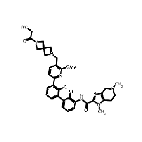 COc1nc(-c2cccc(-c3cccc(NC(=O)c4nc5c(n4C)CCN(C)C5)c3Cl)c2Cl)ccc1CN1CC2(C1)CN(C(=O)CC#N)C2